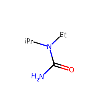 [CH2]CN(C(N)=O)C(C)C